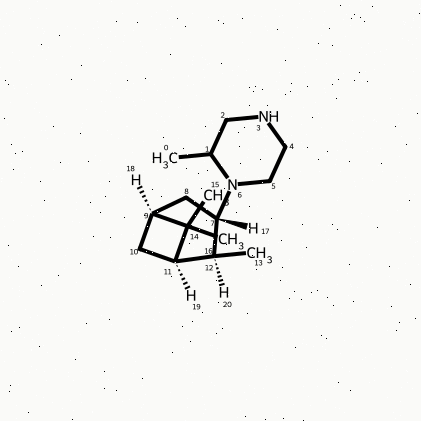 CC1CNCCN1[C@H]1C[C@@H]2C[C@H]([C@@H]1C)C2(C)C